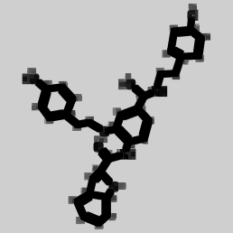 O=C(Nc1ccc(C(O)NCCc2ccc(Cl)cc2)cc1OCCc1ccc(O)cc1)c1cc2ccccc2o1